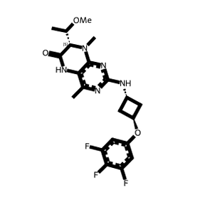 COC(C)[C@H]1C(=O)Nc2c(C)nc(N[C@H]3C[C@H](Oc4cc(F)c(F)c(F)c4)C3)nc2N1C